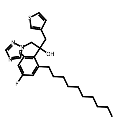 CCCCCCCCCCc1cc(F)cc(F)c1C(O)(Cc1ccsc1)Cn1cncn1